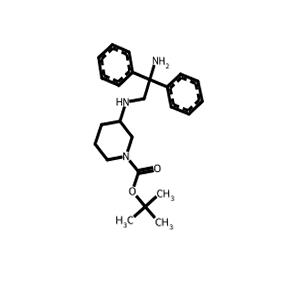 CC(C)(C)OC(=O)N1CCCC(NCC(N)(c2ccccc2)c2ccccc2)C1